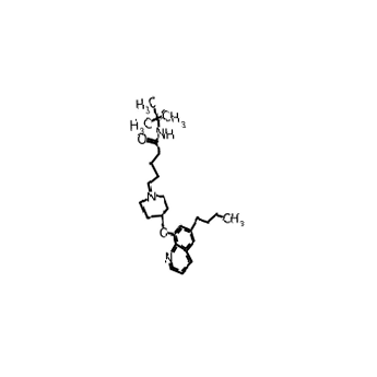 CCCCc1cc(OC2CCN(CCCCC(=O)NC(C)(C)C)CC2)c2ncccc2c1